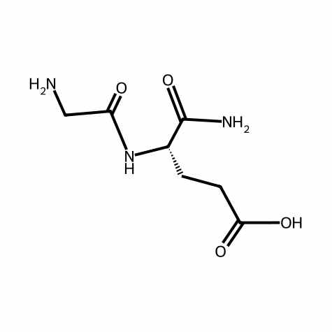 NCC(=O)N[C@@H](CCC(=O)O)C(N)=O